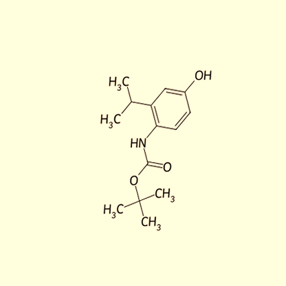 CC(C)c1cc(O)ccc1NC(=O)OC(C)(C)C